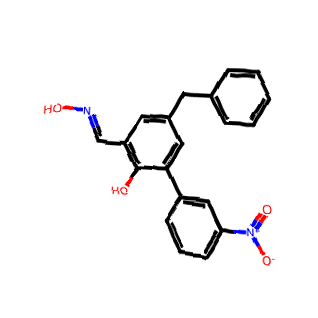 O=[N+]([O-])c1cccc(-c2cc(Cc3ccccc3)cc(C=NO)c2O)c1